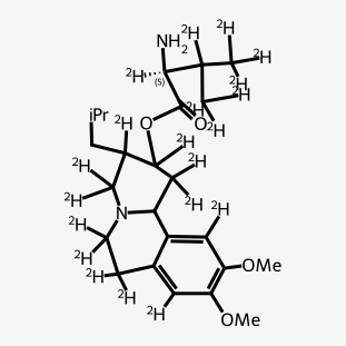 [2H]c1c(OC)c(OC)c([2H])c2c1C1N(C([2H])([2H])C2([2H])[2H])C([2H])([2H])C([2H])(CC(C)C)C([2H])(OC(=O)[C@@]([2H])(N)C([2H])(C([2H])([2H])[2H])C([2H])([2H])[2H])C1([2H])[2H]